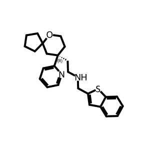 c1ccc([C@]2(CCNCc3cc4ccccc4s3)CCOC3(CCCC3)C2)nc1